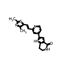 Cc1nc(C)c(/C=C/c2cc(-c3cc4c([nH]3)CCNC4=O)ccn2)s1